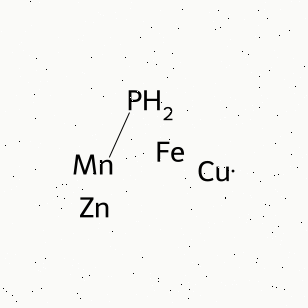 [Cu].[Fe].[PH2][Mn].[Zn]